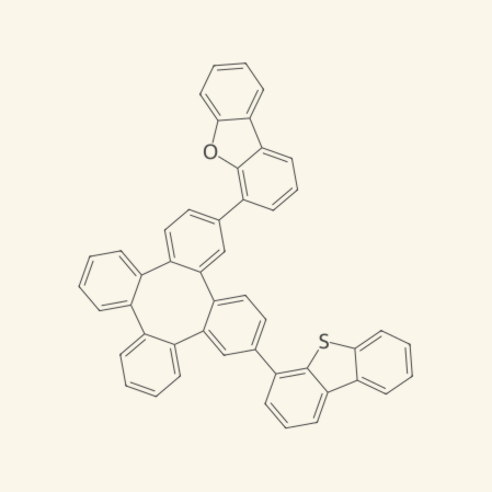 c1ccc2c(c1)-c1ccccc1-c1cc(-c3cccc4c3sc3ccccc34)ccc1-c1cc(-c3cccc4c3oc3ccccc34)ccc1-2